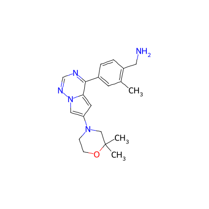 Cc1cc(-c2ncnn3cc(N4CCOC(C)(C)C4)cc23)ccc1CN